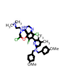 COc1ccc(CN(Cc2ccc(OC)cc2)c2cc(C)c(C(F)(F)F)c(-c3c(F)c4c5c(c3Cl)=NCNC=5N(CCN(C)C)C=C(Cl)O4)n2)cc1